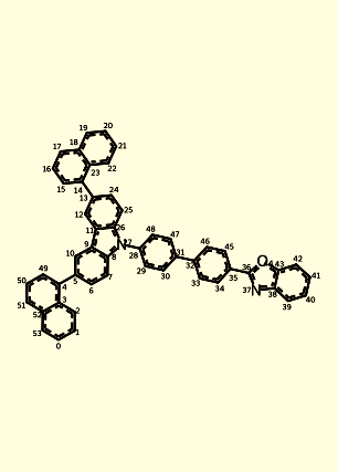 c1ccc2c(-c3ccc4c(c3)c3cc(-c5cccc6ccccc56)ccc3n4-c3ccc(-c4ccc(-c5nc6ccccc6o5)cc4)cc3)cccc2c1